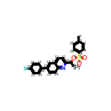 Cc1ccc(S(=O)(=O)OC(c2ccc3cc(-c4ccc(F)cc4)ccc3n2)C(C)C)cc1